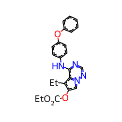 CCOC(=O)Oc1cn2ncnc(Nc3ccc(Oc4ccccc4)cc3)c2c1CC